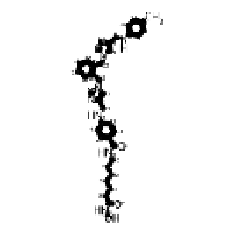 Cc1ccc(NCc2cn(Cc3ccccc3Cn3cc(CNc4ccc(C(=O)NCCCCCCC(=O)NO)cc4)nn3)nn2)cc1